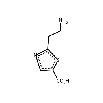 NCCc1ncc(C(=O)O)s1